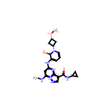 CNc1cc(NC2=CC=CN([C@H]3C[C@@H](OC)C3)C2O)nc2c(C(=O)NC3CC3)cnn12